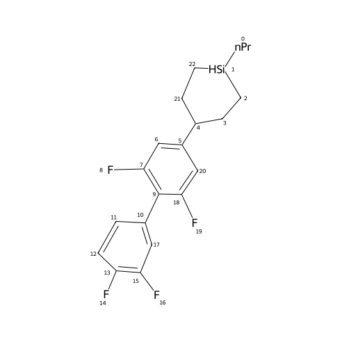 CCC[SiH]1CCC(c2cc(F)c(-c3ccc(F)c(F)c3)c(F)c2)CC1